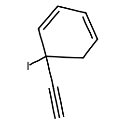 C#CC1(I)C=CC=CC1